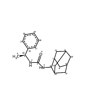 C[C@H](NC(=O)NC1C2CC3CC(C2)CC1C3)c1ccccc1